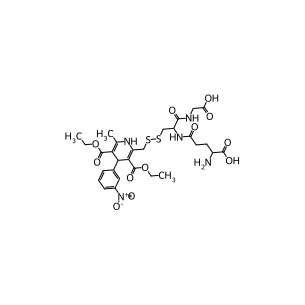 CCOC(=O)C1=C(C)NC(CSSCC(NC(=O)CCC(N)C(=O)O)C(=O)NCC(=O)O)=C(C(=O)OCC)C1c1cccc([N+](=O)[O-])c1